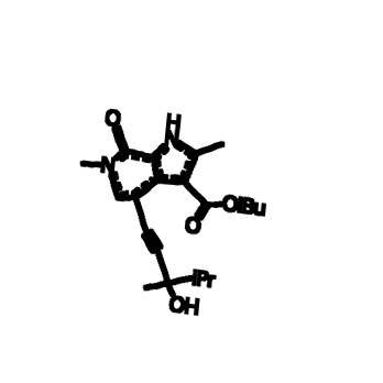 Cc1[nH]c2c(=O)n(C)cc(C#CC(C)(O)C(C)C)c2c1C(=O)OCC(C)C